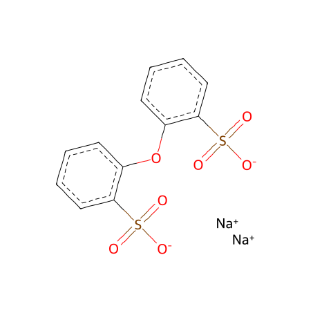 O=S(=O)([O-])c1ccccc1Oc1ccccc1S(=O)(=O)[O-].[Na+].[Na+]